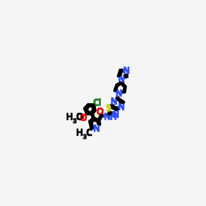 COc1ccc(Cl)cc1-c1cc(C)ncc1C(=O)Nc1nc2ncc(N3CCC(n4ccnc4)CC3)nc2s1